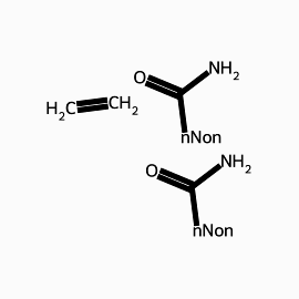 C=C.CCCCCCCCCC(N)=O.CCCCCCCCCC(N)=O